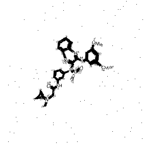 COc1cc(Nc2nc3ccccc3nc2N(c2cccc(NC(=O)CN(C)C3CC3)c2)[SH](=O)=O)cc(OC)c1